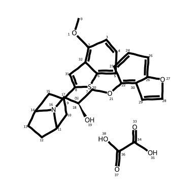 COc1cccc2sc(C3CC4CCC(C3)N4C[C@H](O)COc3cccc4occc34)cc12.O=C(O)C(=O)O